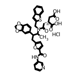 CC(C(Cc1ccc(C(=O)Nc2cccnc2)o1)c1ccc2c(c1)OCO2)N(Cc1cc2ccccc2s1)C(=O)C[C@H](CC(=O)O)C(=O)O.Cl